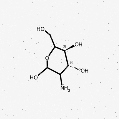 NC1C(O)OC(CO)[C@@H](O)[C@@H]1O